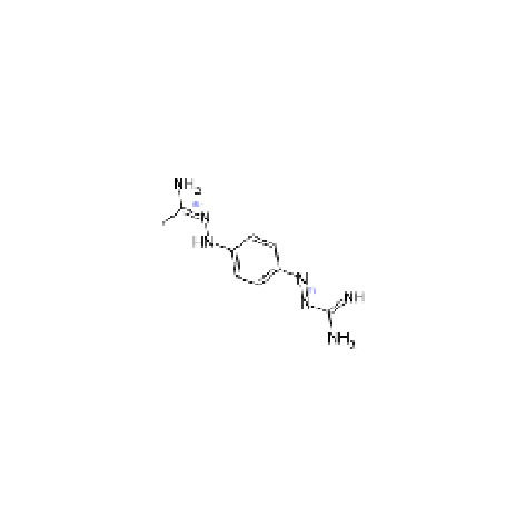 C/C(N)=N\Nc1ccc(/N=N/C(=N)N)cc1